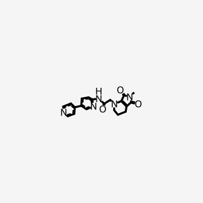 CN1C(=O)C2=C(C1=O)N(CC(=O)Nc1ccc(-c3ccncc3)cn1)CCC2